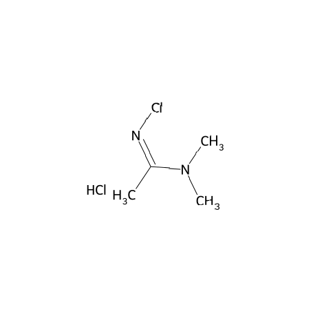 CC(=NCl)N(C)C.Cl